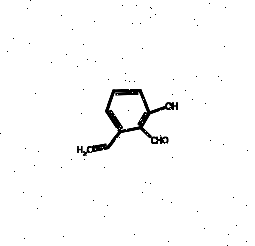 C=Cc1cccc(O)c1C=O